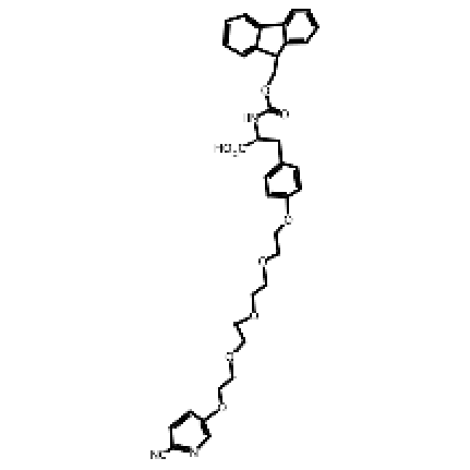 N#Cc1ccc(OCCOCCOCCOCCOc2ccc(C[C@H](NC(=O)OCC3c4ccccc4-c4ccccc43)C(=O)O)cc2)cn1